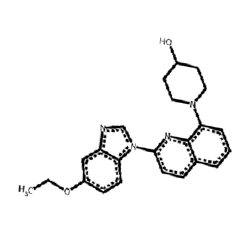 CCOc1ccc2c(c1)ncn2-c1ccc2cccc(N3CCC(O)CC3)c2n1